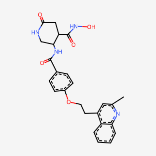 Cc1cc(CCOc2ccc(C(=O)NC3CNC(=O)CC3C(=O)NO)cc2)c2ccccc2n1